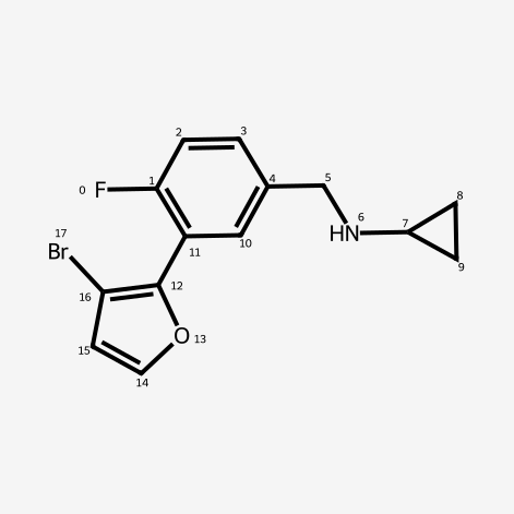 Fc1ccc(CNC2CC2)cc1-c1occc1Br